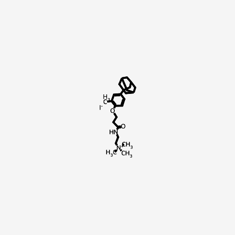 Cc1cc(C23CC4CC(CC(C4)C2)C3)ccc1OCCC(=O)NCC[N+](C)(C)C.[I-]